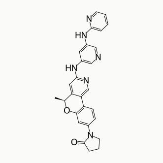 C[C@@H]1Oc2cc(N3CCCC3=O)ccc2-c2cnc(Nc3cncc(Nc4ccccn4)c3)cc21